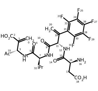 C=C(C(=O)O)[C@H](NC(=O)[C@@H](NC(=O)[C@@H](NC(=O)[C@@H](N)CC(=O)O)C(=C)c1c(F)c(F)c(F)c(F)c1F)C(C)C)C(C)=O